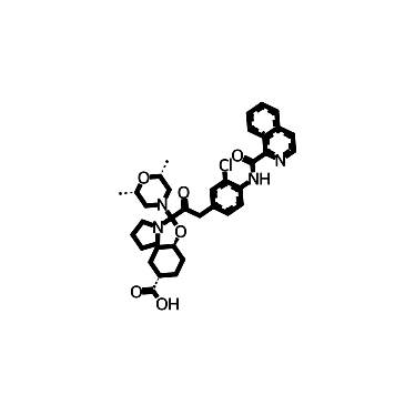 C[C@@H]1CN(C(O[C@H]2CC[C@H](C(=O)O)CC2)(C(=O)Cc2ccc(NC(=O)c3nccc4ccccc34)c(Cl)c2)N2CCCC2)C[C@H](C)O1